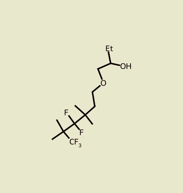 CCC(O)COCCC(C)(C)C(F)(F)C(C)(C)C(F)(F)F